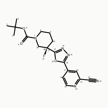 CC(C)(C)OC(=O)N1CCC[C@](F)(c2nnc(-c3ccnc(C#N)c3)o2)C1